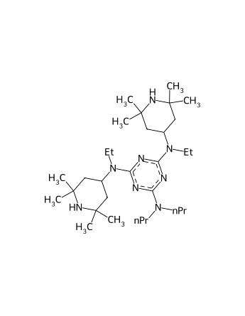 CCCN(CCC)c1nc(N(CC)C2CC(C)(C)NC(C)(C)C2)nc(N(CC)C2CC(C)(C)NC(C)(C)C2)n1